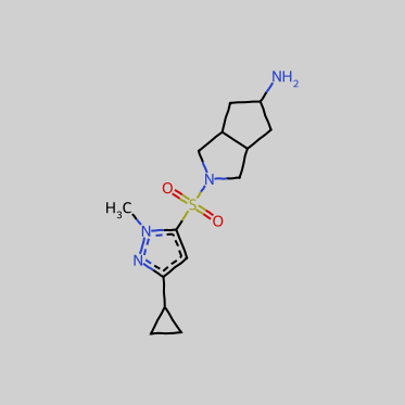 Cn1nc(C2CC2)cc1S(=O)(=O)N1CC2CC(N)CC2C1